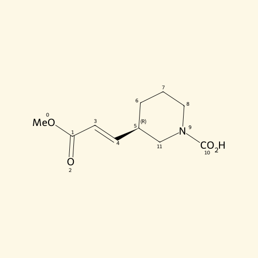 COC(=O)C=C[C@H]1CCCN(C(=O)O)C1